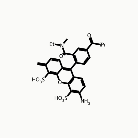 C=c1ccc2c(c1S(=O)(=O)O)Oc1c(ccc(N)c1S(=O)(=O)O)C=2c1ccc(C(=O)C(C)C)cc1C(=O)N(C)CC